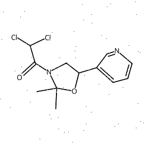 CC1(C)OC(c2cccnc2)CN1C(=O)C(Cl)Cl